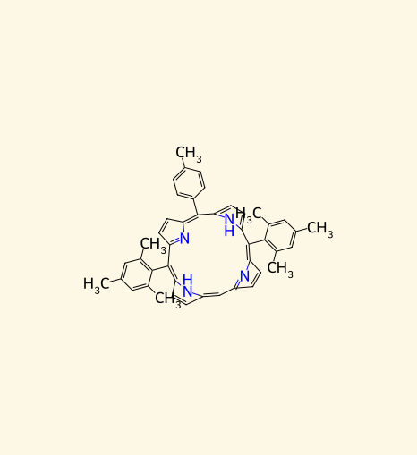 Cc1ccc(-c2c3nc(c(-c4c(C)cc(C)cc4C)c4ccc(cc5nc(c(-c6c(C)cc(C)cc6C)c6ccc2[nH]6)C=C5)[nH]4)C=C3)cc1